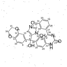 Cn1cncc1C(O)(c1ccc2c(c1)OCCO2)c1ccc2[nH]c(=O)nc(-c3cccc(Cl)c3)c2c1